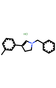 Cc1cccc(C2=CN(Cc3ccccc3)CC2)c1.Cl